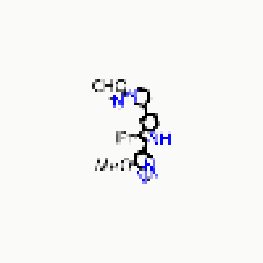 COc1cc(-c2[nH]c3ccc(C4CCCN(C(C=O)N(C)C)C4)cc3c2C(C)C)cn2ncnc12